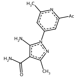 CC(=O)c1cc(-n2nc(C)c(C(N)=O)c2N)cc(C)n1